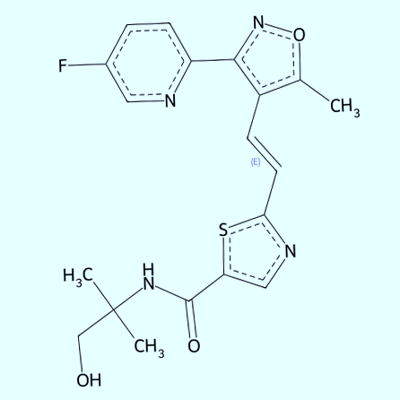 Cc1onc(-c2ccc(F)cn2)c1/C=C/c1ncc(C(=O)NC(C)(C)CO)s1